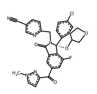 Cn1ccc(C(=O)c2cc(F)c3c(c2)C(=O)N(Cc2ccc(C#N)cn2)[C@@]3(OC2CCOC2)c2ccc(Cl)cc2)n1